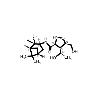 C[C@@H]1[C@@H](NC(=O)[C@H]2NO[C@@H](CO)[C@H]2[C@H](C)O)C[C@H]2C[C@@H]1C2(C)C